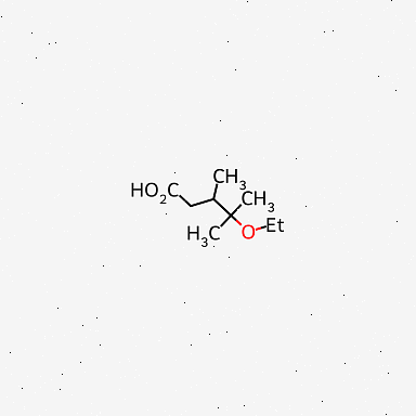 CCOC(C)(C)C(C)CC(=O)O